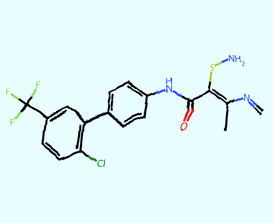 C=N/C(C)=C(\SN)C(=O)Nc1ccc(-c2cc(C(F)(F)F)ccc2Cl)cc1